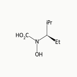 CC[C@H](C(C)C)N(O)C(=O)O